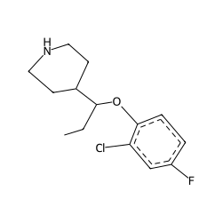 CCC(Oc1ccc(F)cc1Cl)C1CCNCC1